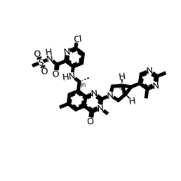 Cc1cc([C@@H](C)Nc2ccc(Cl)nc2C(=O)NS(C)(=O)=O)c2nc(N3C[C@@H]4C(c5cnc(C)nc5C)[C@@H]4C3)n(C)c(=O)c2c1